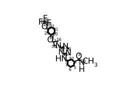 CNC(=O)c1cccc(Nc2ncnc(N3CC(Oc4cccc(OC(F)(F)F)c4)C3)n2)c1